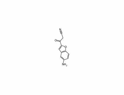 N#CCC(=O)c1cc2cc(N)ccc2o1